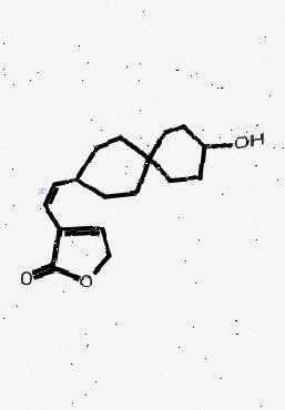 O=C1OCC=C1/C=C\C1CCC2(CCC(O)CC2)CC1